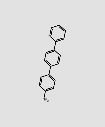 Nc1ccc(-c2ccc(-c3ccccn3)cc2)cc1